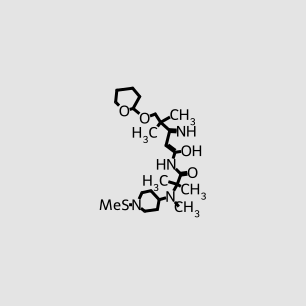 CSN1CCC(N(C)C(C)(C)C(=O)N/C(O)=C/C(=N)C(C)(C)COC2CCCCO2)CC1